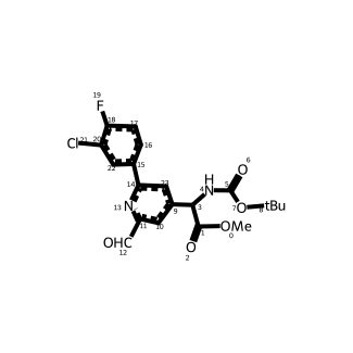 COC(=O)C(NC(=O)OC(C)(C)C)c1cc(C=O)nc(-c2ccc(F)c(Cl)c2)c1